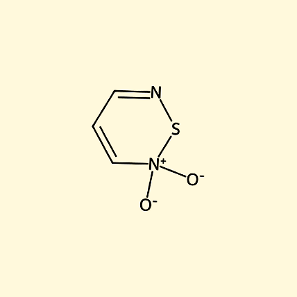 [O-][N+]1([O-])C=CC=NS1